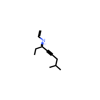 C=C/N=C(/C#CCC(C)C)CC